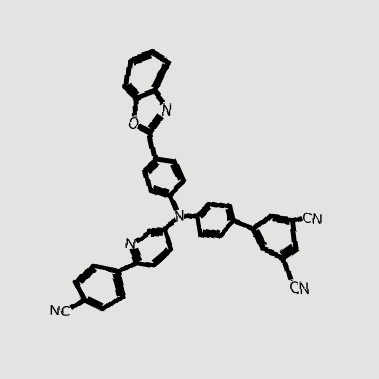 N#Cc1ccc(-c2ccc(N(c3ccc(-c4cc(C#N)cc(C#N)c4)cc3)c3ccc(-c4nc5ccccc5o4)cc3)cn2)cc1